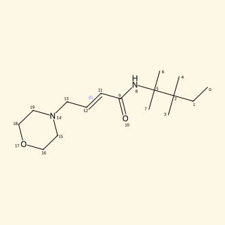 CCC(C)(C)C(C)(C)NC(=O)/C=C/CN1CCOCC1